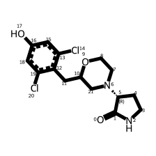 O=C1NCC[C@H]1N1CCOC(Cc2c(Cl)cc(O)cc2Cl)C1